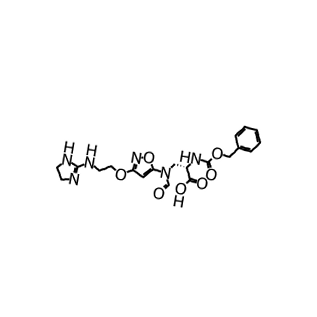 O=CN(C[C@H](NC(=O)OCc1ccccc1)C(=O)O)c1cc(OCCNC2=NCCN2)no1